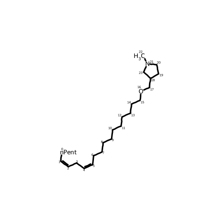 CCCCC/C=C\C/C=C\CCCCCCCCCCOCC1CCN(C)C1